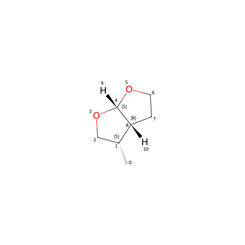 C[C@@H]1CO[C@@H]2OCC[C@@H]21